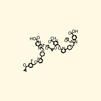 CC(=O)c1ccc(COc2cccc(C3CCN(Cc4nc5ccc(C(=O)O)cc5n4C[C@@H]4CCO4)CC3)n2)c(OC2CC2C2C[C@@H](Cn3c(CN4CCC(c5cccc(OCc6ccc(C(=O)C7CC7)cc6F)n5)CC4)nc4ccc(C(=O)O)nc43)O2)c1